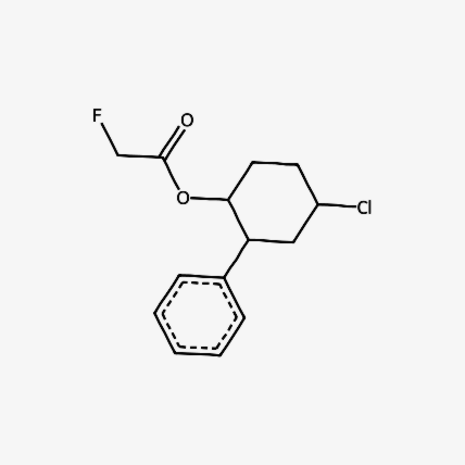 O=C(CF)OC1CCC(Cl)CC1c1ccccc1